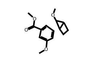 COC(=O)c1cccc(OC)c1.COC1C2CCC21